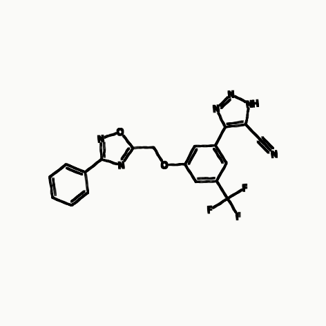 N#Cc1[nH]nnc1-c1cc(OCc2nc(-c3ccccc3)no2)cc(C(F)(F)F)c1